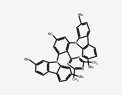 Cc1nc(C)nc(-c2c(-n3c4cc(C(C)(C)C)ccc4c4ccc(C(C)(C)C)cc43)cc(C#N)cc2-n2c3cc(C(C)(C)C)ccc3c3ccc(C(C)(C)C)cc32)n1